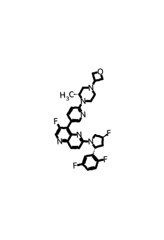 C[C@@H]1CN(C2COC2)CCN1c1ccc(-c2c(F)cnc3ccc(N4C[C@@H](F)C[C@@H]4c4cc(F)ccc4F)nc23)cn1